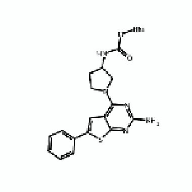 CC(C)(C)OC(=O)N[C@@H]1CCN(c2nc(N)nc3sc(-c4ccccc4)cc23)C1